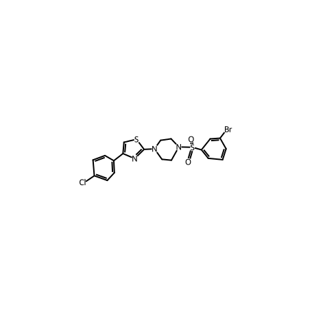 O=S(=O)(c1cccc(Br)c1)N1CCN(c2nc(-c3ccc(Cl)cc3)cs2)CC1